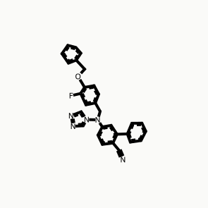 N#Cc1ccc(N(Cc2ccc(OCc3ccccc3)c(F)c2)n2cnnc2)cc1-c1ccccc1